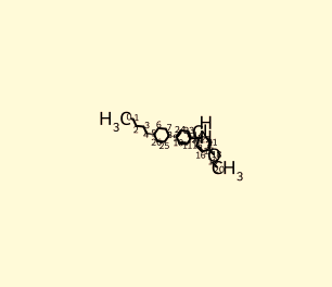 CCCCC[C@H]1CC[C@H](c2ccc(C3(Cl)C=CC(OCC)=CN3)cc2)CC1